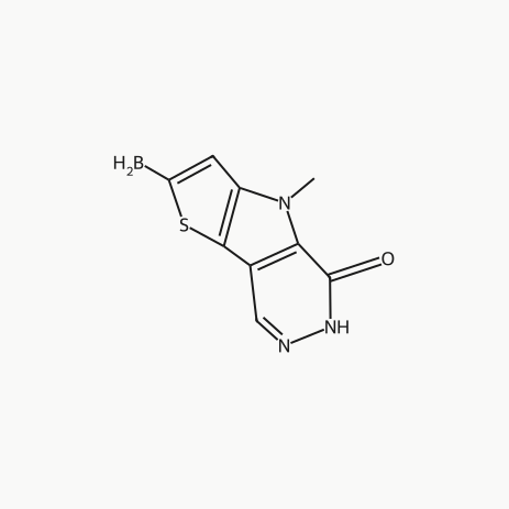 Bc1cc2c(s1)c1cn[nH]c(=O)c1n2C